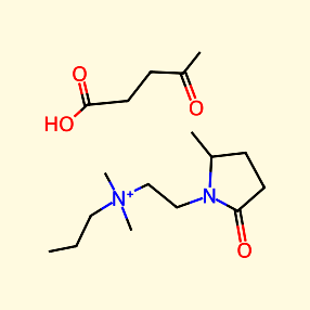 CC(=O)CCC(=O)O.CCC[N+](C)(C)CCN1C(=O)CCC1C